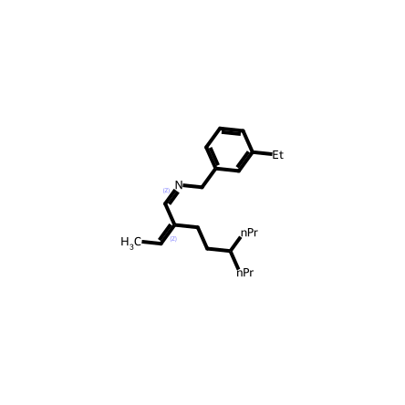 C/C=C(\C=N/Cc1cccc(CC)c1)CCC(CCC)CCC